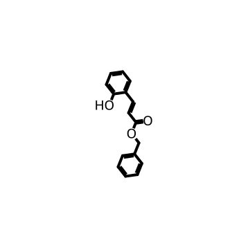 O=C(/C=C/c1ccccc1O)OCc1ccccc1